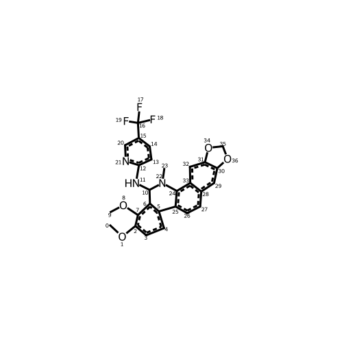 COc1ccc2c(c1OC)C(Nc1ccc(C(F)(F)F)cn1)N(C)c1c-2ccc2cc3c(cc12)OCO3